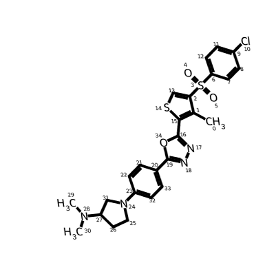 Cc1c(S(=O)(=O)c2ccc(Cl)cc2)csc1-c1nnc(-c2ccc(N3CCC(N(C)C)C3)cc2)o1